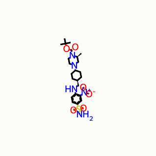 C[C@H]1CN([C@H]2CC[C@H](CNc3ccc(S(N)(=O)=O)cc3[N+](=O)[O-])CC2)CCN1C(=O)OC(C)(C)C